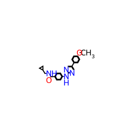 COc1ccc(-c2cnc(Nc3ccc(C(=O)NCC4CC4)cc3)nc2)cc1